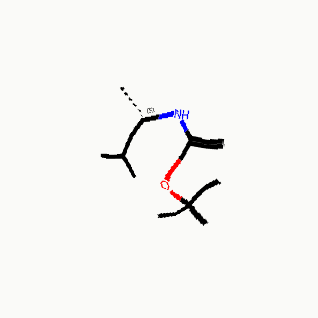 C=C(N[C@@H](C)C(C)C)OC(C)(C)C